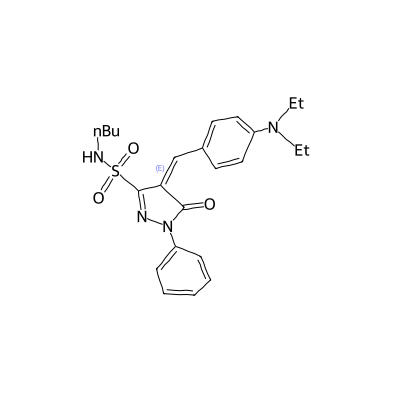 CCCCNS(=O)(=O)C1=NN(c2ccccc2)C(=O)/C1=C\c1ccc(N(CC)CC)cc1